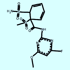 COc1cc(F)nc(NC(=O)C2(S(C)(=O)=O)C=CC=CC2S(N)(=O)=O)n1